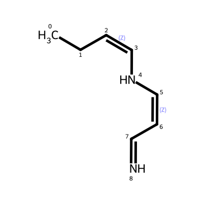 CC/C=C\N/C=C\C=N